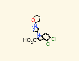 O=C(O)c1cc2c(Cl)c(Cl)ccc2n1-c1cnn(C2CCCCO2)c1